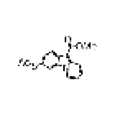 COC(=O)c1c2ccc(SC(C)=O)cc2n2ccccc12